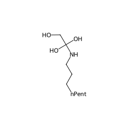 CCCCCCCCNC(O)(O)CO